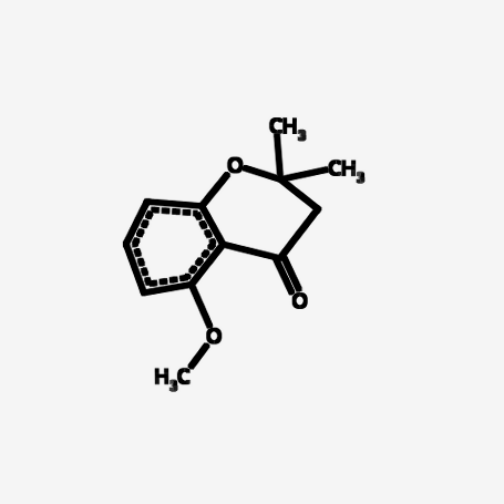 COc1cccc2c1C(=O)CC(C)(C)O2